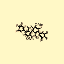 COc1c(C)c(-c2cc(F)c(F)c(F)c2)c(CBr)c(-c2c(C)c(OC)c(C)c(-c3cc(F)c(F)c(F)c3)c2CBr)c1C